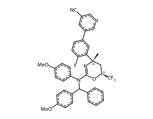 COc1ccc(C(c2ccccc2)N(C2=N[C@](C)(c3cc(-c4cncc(C#N)c4)ccc3F)C[C@@H](C(F)(F)F)O2)c2ccc(OC)cc2)cc1